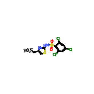 O=C(O)Cc1csc(NS(=O)(=O)c2c(Cl)cc(Cl)cc2Cl)n1